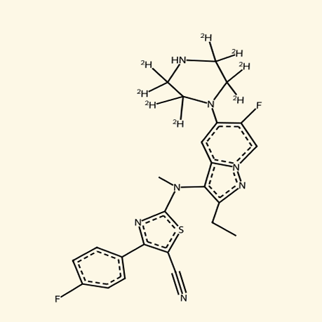 [2H]C1([2H])NC([2H])([2H])C([2H])([2H])N(c2cc3c(N(C)c4nc(-c5ccc(F)cc5)c(C#N)s4)c(CC)nn3cc2F)C1([2H])[2H]